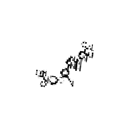 COc1nc(Nc2nccc(-c3ccc(OC4CCN(C(=O)c5cocn5)CC4)c(C#N)c3)n2)ccc1C(=O)N(C)C